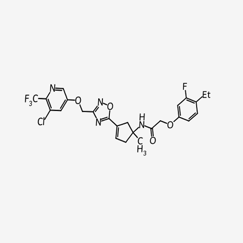 CCc1ccc(OCC(=O)NC2(C)CC=C(c3nc(COc4cnc(C(F)(F)F)c(Cl)c4)no3)C2)cc1F